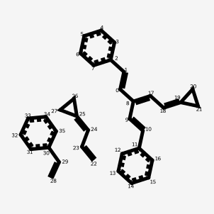 C(=Cc1ccccc1)C(C=Cc1ccccc1)=CC=C1CC1.C=CC=C1CC1.C=Cc1ccccc1